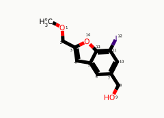 COCc1cc2cc(CO)cc(I)c2o1